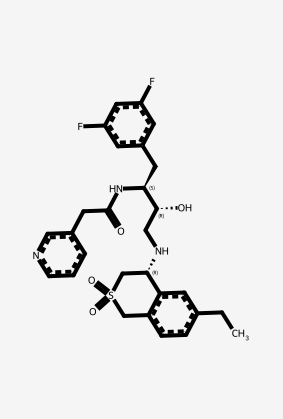 CCc1ccc2c(c1)[C@@H](NC[C@@H](O)[C@H](Cc1cc(F)cc(F)c1)NC(=O)Cc1cccnc1)CS(=O)(=O)C2